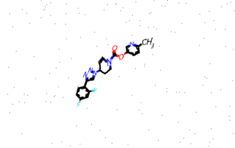 Cc1ccc(OC(=O)N2CCC(n3cc(-c4ccc(F)cc4F)nn3)CC2)cn1